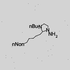 CCCCCCCCCCCCCCC1N(N)CCN1CCCC